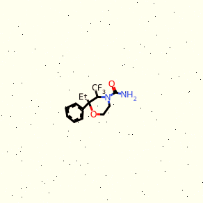 CCC1(c2ccccc2)OCCN(C(N)=O)C1C(F)(F)F